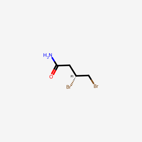 NC(=O)C[C@@H](Br)CBr